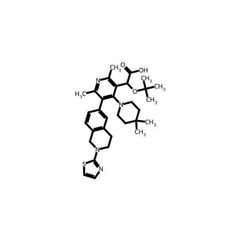 Cc1nc(C)c(C(OC(C)(C)C)C(=O)O)c(N2CCC(C)(C)CC2)c1-c1ccc2c(c1)CCN(c1nccs1)C2